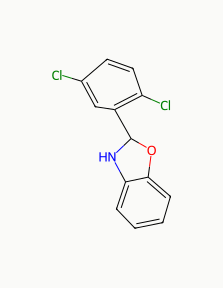 Clc1ccc(Cl)c(C2Nc3ccccc3O2)c1